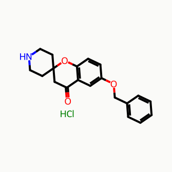 Cl.O=C1CC2(CCNCC2)Oc2ccc(OCc3ccccc3)cc21